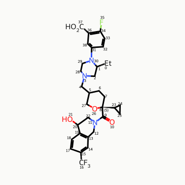 CCC1CN(CC2CC[C@@](C(=O)N3Cc4cc(C(F)(F)F)ccc4C(O)C3)(C3CC3)OC2)CCN1c1ccc(F)c(C(=O)O)c1